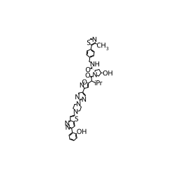 Cc1ncsc1-c1ccc(CNC(=O)[C@@H]2C[C@@H](O)CN2C(=O)C(c2cc(-c3cnc(N4CCN(c5cc6nnc(-c7ccccc7O)cc6s5)CC4)nc3)no2)C(C)C)cc1